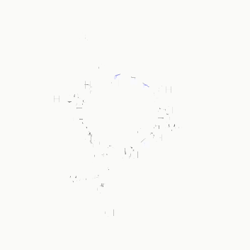 CO[C@@H]1C[C@H](C[C@@H](C)[C@@H]2CC(=O)[C@H](C)/C=C(\C)[C@@H](O)[C@@H](OC)C(=O)[C@H](C)C[C@H](C)/C=C/C=C/C=C(\C)[C@@H](OCCCC3COC3)C[C@@H]3CC[C@@H](C)[C@@](O)(O3)C(=O)C(=O)N3CCCC[C@H]3C(=O)O2)CC[C@H]1OCCO